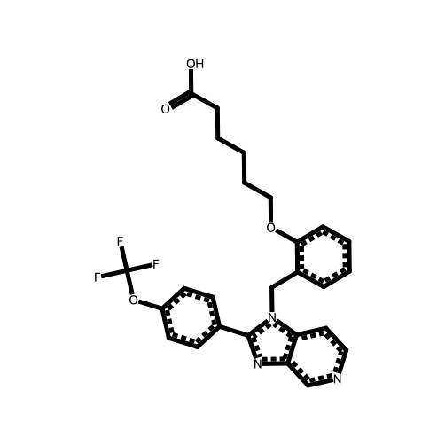 O=C(O)CCCCCOc1ccccc1Cn1c(-c2ccc(OC(F)(F)F)cc2)nc2cnccc21